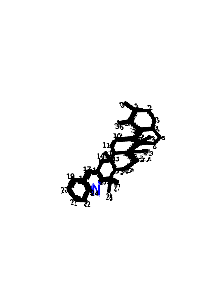 CC1CCC2CCC3(C)C(=CCC4C5(C)Cc6cc7ccccc7nc6C(C)(C)C5CCC43C)C2C1C